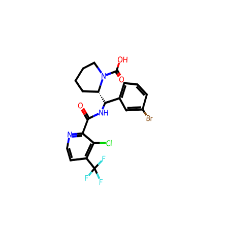 O=C(NC(c1cccc(Br)c1)[C@@H]1CCCCN1C(=O)O)c1nccc(C(F)(F)F)c1Cl